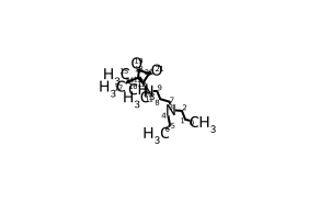 CCCN(CCC)CCCN(C)c1c(C(C)(C)C)c(=O)c1=O